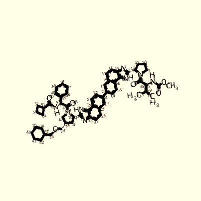 COC(=O)N[C@H](C(=O)N1CCC[C@H]1c1nc2ccc3cc(-c4ccc5c(ccc6nc([C@@H]7C[C@H](COCC8CCCCC8)CN7C(=O)[C@H](NC(=O)C7CCC7)c7ccccc7)[nH]c65)c4)ccc3c2[nH]1)C(C)C